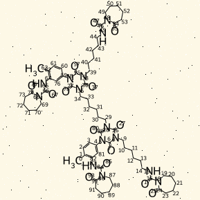 Cc1ccc(-n2c(=O)n(CCCCCCNC(=O)N3CCCCCC3=O)c(=O)n(CCCCCCn3c(=O)n(CCCCCCNC(=O)N4CCCCCC4=O)c(=O)n(-c4ccc(C)c(NC(=O)N5CCCCCC5=O)c4)c3=O)c2=O)cc1NC(=O)N1CCCCCC1=O